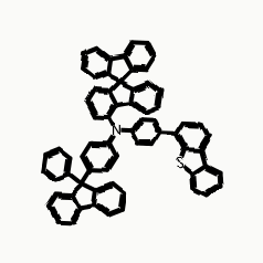 c1ccc(C2(c3ccc(N(c4ccc(-c5cccc6c5sc5ccccc56)cc4)c4cccc5c4-c4ccccc4C54c5ccccc5-c5ccccc54)cc3)c3ccccc3-c3ccccc32)cc1